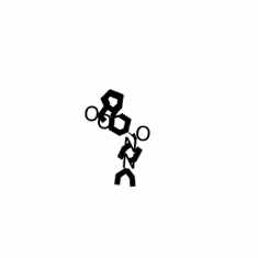 CCC(CC)N1CCN(C(=O)[C@H]2CC[C@@]3(CC2)OC(=O)c2ccccc23)CC1